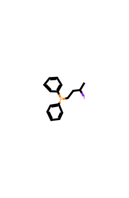 CC(I)CCP(c1ccccc1)c1ccccc1